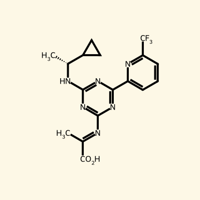 C/C(=N\c1nc(N[C@H](C)C2CC2)nc(-c2cccc(C(F)(F)F)n2)n1)C(=O)O